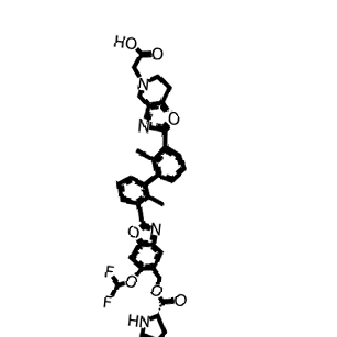 Cc1c(-c2nc3c(o2)CCN(CC(=O)O)C3)cccc1-c1cccc(-c2nc3cc(COC(=O)[C@@H]4CCCN4)c(OC(F)F)cc3o2)c1C